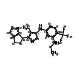 CCNc1nc(Nc2cnn(C3CCn4ccnc43)c2C)ncc1C(F)(F)F